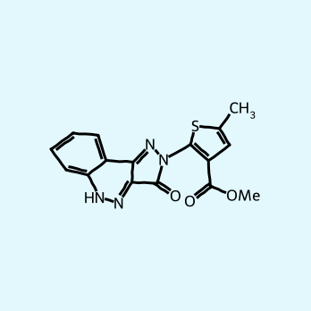 COC(=O)c1cc(C)sc1-n1nc2c3ccccc3[nH]nc-2c1=O